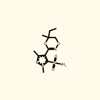 Cc1nn(C)c(S(N)(=O)=O)c1C1=NOCC(C)(CI)O1